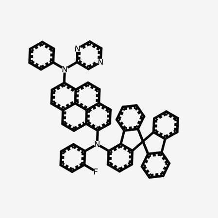 Fc1ccccc1N(c1cccc2c1-c1ccccc1C21c2ccccc2-c2ccccc21)c1ccc2ccc3c(N(c4ccccc4)c4cnccn4)ccc4ccc1c2c43